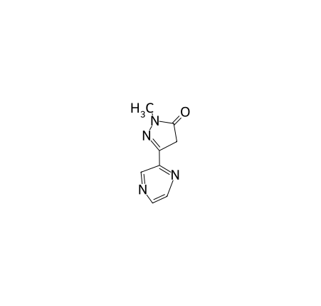 CN1N=C(c2cnccn2)CC1=O